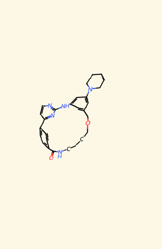 O=C1NCCCCOCc2cc(cc(N3CCCCC3)c2)Nc2nccc(n2)-c2ccc1cc2